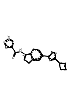 O=C(N[C@@H]1CCc2cc(-c3noc(C4CCC4)n3)ccc21)c1nn[nH]n1